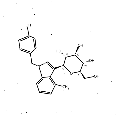 Cc1cccc2c1c([C@@H]1O[C@H](CO)[C@@H](O)[C@H](O)[C@H]1O)cn2Cc1ccc(O)cc1